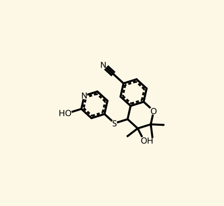 CC1(C)Oc2ccc(C#N)cc2C(Sc2ccnc(O)c2)C1(C)O